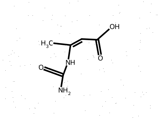 C/C(=C/C(=O)O)NC(N)=O